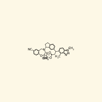 Cc1c(C(CC(=O)OC=O)c2ccc3c(c2)C(N2Cc4cc(C#N)ccc4OC(C)(C)C2)CC3)ccc2c1nnn2C